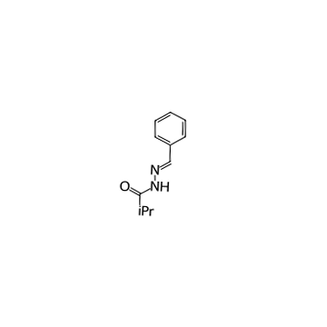 CC(C)C(=O)NN=Cc1ccccc1